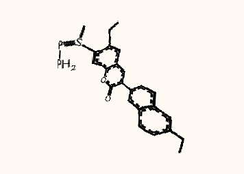 CCc1ccc2cc(-c3cc4cc(CC)c(/S(C)=P\P)cc4oc3=O)ccc2c1